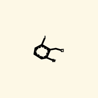 ClCc1c(Br)cccc1I